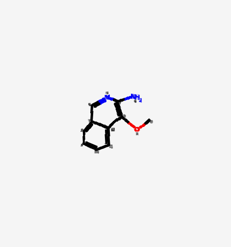 COc1c(N)ncc2ccccc12